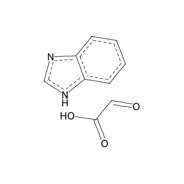 O=CC(=O)O.c1ccc2[nH]cnc2c1